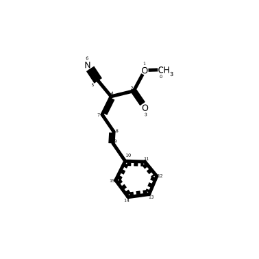 COC(=O)C(C#N)=CC=Cc1ccccc1